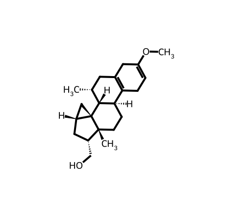 COC1=CCC2=C(C1)C[C@@H](C)[C@@H]1[C@@H]2CC[C@]2(C)[C@H](CO)C[C@@H]3C[C@@]312